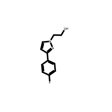 OCCn1ccc(-c2ccc(F)cc2)n1